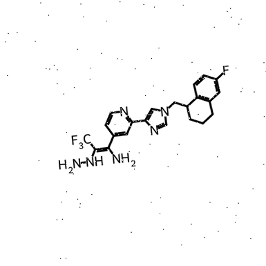 NN/C(=C(\N)c1ccnc(-c2cn(CC3CCCc4cc(F)ccc43)cn2)c1)C(F)(F)F